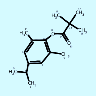 Cc1cc(C(C)C)cc(C)c1OC(=O)C(C)(C)C